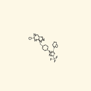 FC(F)(F)c1cc(-c2ccco2)n(-c2ccc(Cn3ncc4cnc(Cl)nc43)cc2)n1